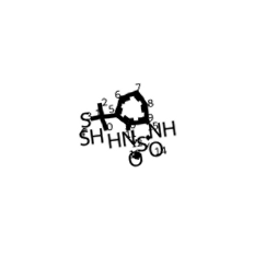 CC(C)(SS)c1cccc2c1NS(=O)(=O)N2